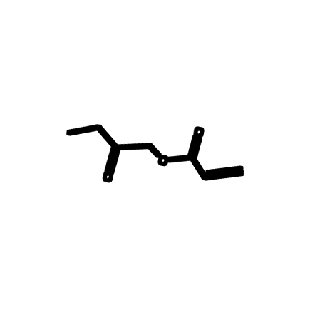 C=CC(=O)OCC(=O)CC